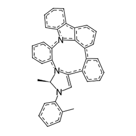 Cc1ccccc1N1C=c2c3ccccc3c3cccc4c5ccccc5n(c5ccccc5n2[C@@H]1C)c34